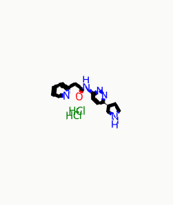 Cl.Cl.O=C(Cc1ccccn1)Nc1ccc([C@@H]2CCNC2)nn1